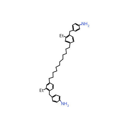 CCc1cc(CCCCCCCCCCCCc2ccc(Cc3ccc(N)cc3)c(CC)c2)ccc1Cc1ccc(N)cc1